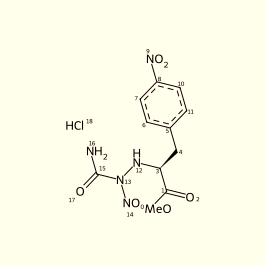 COC(=O)[C@H](Cc1ccc([N+](=O)[O-])cc1)NN(N=O)C(N)=O.Cl